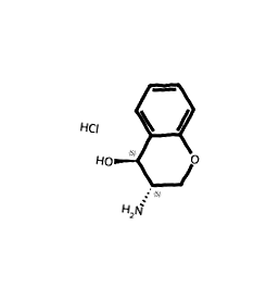 Cl.N[C@H]1COc2ccccc2[C@@H]1O